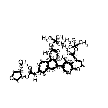 CO[C@H]1COC[C@@H]1OC(=O)Nc1cc2cc(-c3cnc4c(c3C)N(C(=O)OC(C)(C)C)CCO4)c(F)c(NC(=O)OC(C)(C)C)c2cn1